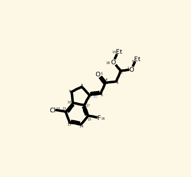 CCOC(CC(=O)/C=C1\CCc2c(Cl)ccc(F)c21)OCC